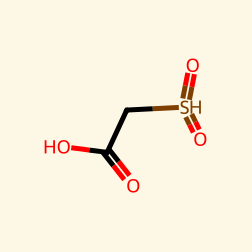 O=C(O)C[SH](=O)=O